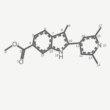 COC(=O)c1ccc2c(C)c(-c3cc(C)nc(C)c3)[nH]c2c1